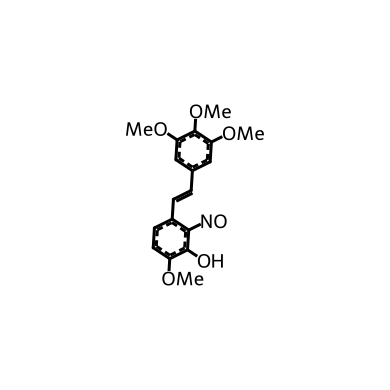 COc1ccc(C=Cc2cc(OC)c(OC)c(OC)c2)c(N=O)c1O